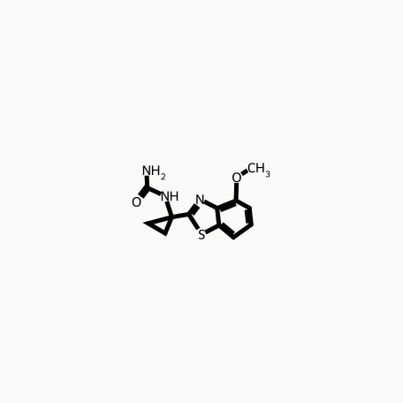 COc1cccc2sc(C3(NC(N)=O)CC3)nc12